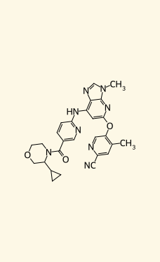 Cc1cc(C#N)ncc1Oc1cc(Nc2ccc(C(=O)N3CCOCC3C3CC3)cn2)c2ncn(C)c2n1